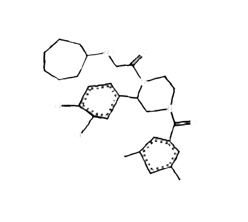 Cc1cc(C)cc(C(=O)N2CCN(C(=O)CNC3CCCCCC3)C(c3ccc(Cl)c(Cl)c3)C2)c1